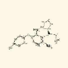 Nc1ncc(Oc2ccc(Cl)cc2)c(N[C@@H]2CCC[C@H]2CCO)n1